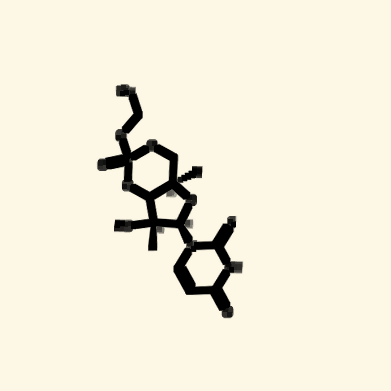 CC(C)(C)COP1(=O)OC[C@H]2O[C@@H](n3ccc(=O)[nH]c3=S)[C@](C)(O)C2O1